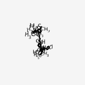 CCC(C)(C)c1ccc(OCCCC(=O)Nc2cccc(NC(=O)C(Cl)(C(=O)C(C)(C)C)n3nnc(-c4ccc(Cl)cc4)n3)c2)c(C(C)(C)CC)c1